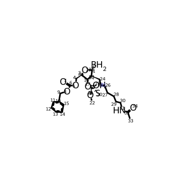 B[C@@H]1O[C@H](COC(=O)OCc2ccccc2)C(OP(O)(=S)OC)[C@@H]1C/C=C/CCCCNC(C)=O